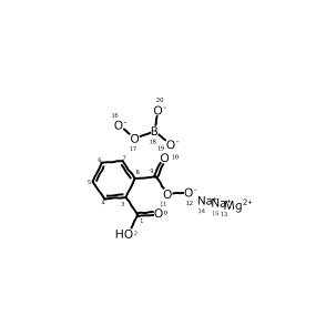 O=C(O)c1ccccc1C(=O)O[O-].[Mg+2].[Na+].[Na+].[O-]OB([O-])[O-]